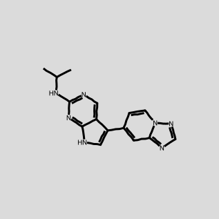 CC(C)Nc1ncc2c(-c3ccn4ncnc4c3)c[nH]c2n1